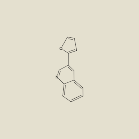 c1coc(-c2cnc3ccccc3c2)c1